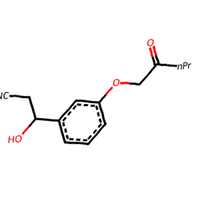 CCCC(=O)COc1cccc(C(O)CC#N)c1